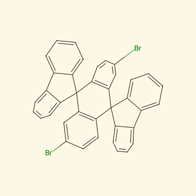 Brc1ccc2c(c1)C1(c3ccccc3-c3ccccc31)c1ccc(Br)cc1C21c2ccccc2-c2ccccc21